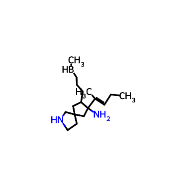 CBCCCC1CC2(CCNC2)CC1(N)/C(C)=C/CC